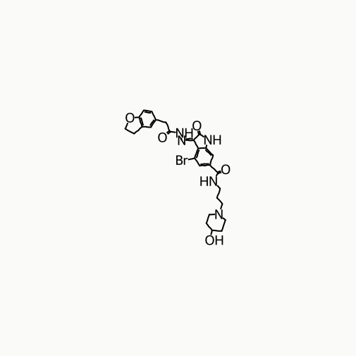 O=C(Cc1ccc2c(c1)CCO2)N/N=C1\C(=O)Nc2cc(C(=O)NCCCN3CCC(O)CC3)cc(Br)c21